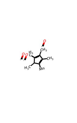 CC1=C(C)C(C)[C]([Mn])=C1C.[C]=O.[C]=O.[C]=O